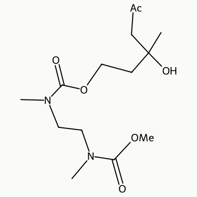 COC(=O)N(C)CCN(C)C(=O)OCCC(C)(O)CC(C)=O